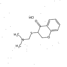 CN(C)CSC1COc2ccccc2C1=O.Cl